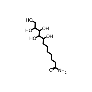 NC(=O)CCCCCCC(O)C(O)C(O)C(O)CO